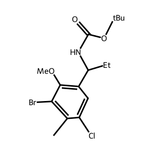 CCC(NC(=O)OC(C)(C)C)c1cc(Cl)c(C)c(Br)c1OC